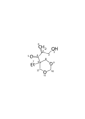 C=C(CO)C(=O)C1(CC)COCOC1